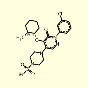 CC(C)S(=O)(=O)N1CCN(c2cnn(-c3cccc(Cl)c3)c(=O)c2O[C@H]2CCCC[C@@H]2C)CC1